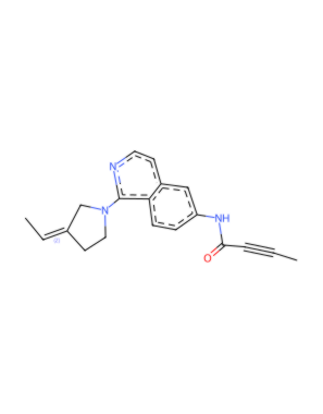 CC#CC(=O)Nc1ccc2c(N3CC/C(=C/C)C3)nccc2c1